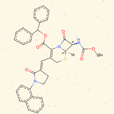 CC(C)(C)OC(=O)N[C@@H]1C(=O)N2C(C(=O)OC(c3ccccc3)c3ccccc3)=C(C=C3CCN(c4cccc5ccccc45)C3=O)CS[C@H]12